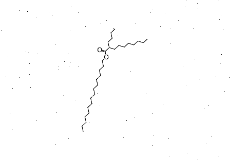 CCCCCCCCCCCCCCCCOC(=O)C(CCCC)CCCCCCCC